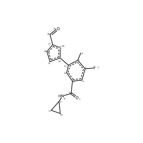 Cc1c(F)cc(C(=O)NC2CC2)cc1-c1ccc(C=O)s1